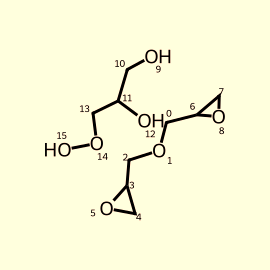 C(OCC1CO1)C1CO1.OCC(O)COO